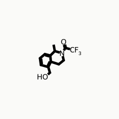 CC1c2cccc(CO)c2CCN1C(=O)C(F)(F)F